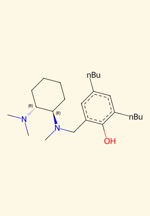 CCCCc1cc(CCCC)c(O)c(CN(C)[C@@H]2CCCC[C@H]2N(C)C)c1